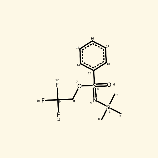 C[Si](C)(C)N=S(=O)(OCC(F)(F)F)c1ccccc1